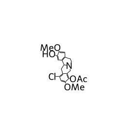 COc1cc2c(cc1O)C1Cc3c(Cl)cc(OC)c(OC(C)=O)c3CN1CC2